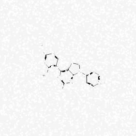 COc1ncc(-c2nc(C)nc3c2CCN3c2ccncc2)c(OC)n1